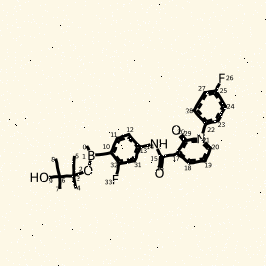 CB(OC(C)(C)C(C)(C)O)c1ccc(NC(=O)c2cccn(-c3ccc(F)cc3)c2=O)cc1F